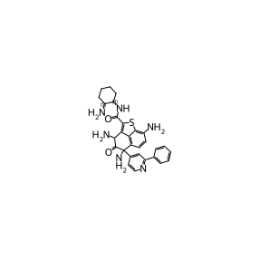 Nc1ccc2c3c(c(C(=O)N[C@@H]4CCCC[C@@H]4N)sc13)C(N)C(=O)C2(N)c1ccnc(-c2ccccc2)c1